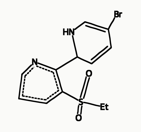 CCS(=O)(=O)c1cccnc1C1C=CC(Br)=CN1